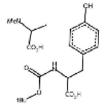 CC(C)(C)OC(=O)NC(Cc1ccc(O)cc1)C(=O)O.CNC(C)C(=O)O